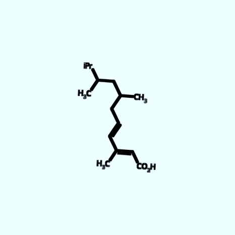 CC(C=CCC(C)CC(C)C(C)C)=CC(=O)O